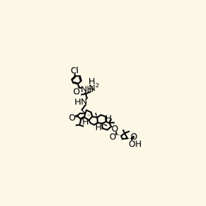 CC(C)C1=C2[C@H]3CC[C@@H]4[C@@]5(C)CC[C@H](OC(=O)[C@H]6C[C@@H](C(=O)O)C6(C)C)C(C)(C)[C@@H]5CC[C@@]4(C)[C@]3(C)CC[C@@]2(CCNCC(C)(CN)NC(=O)c2ccc(Cl)cc2)CC1=O